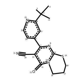 CC(C)(C)c1cc(-c2nc3n(c(=O)c2C#N)CCCS3)ccn1